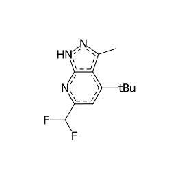 Cc1n[nH]c2nc(C(F)F)cc(C(C)(C)C)c12